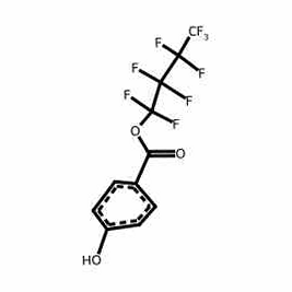 O=C(OC(F)(F)C(F)(F)C(F)(F)C(F)(F)F)c1ccc(O)cc1